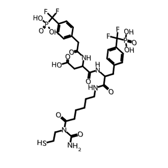 NC(=O)N(CCS)C(=O)CCCCCNC(=O)C(Cc1ccc(C(F)(F)P(=O)(O)O)cc1)NC(=O)C(CC(=O)O)NC(=O)Cc1ccc(C(F)(F)P(=O)(O)O)cc1